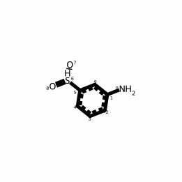 Nc1[c]ccc([SH](=O)=O)c1